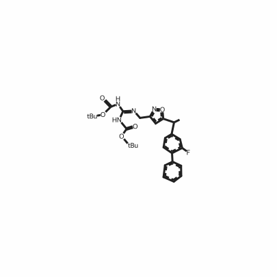 CC(c1ccc(-c2ccccc2)c(F)c1)c1cc(CN=C(NC(=O)OC(C)(C)C)NC(=O)OC(C)(C)C)no1